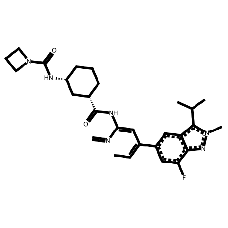 C=N/C(=C\C(=C/C)c1cc(F)c2nn(C)c(C(C)C)c2c1)NC(=O)[C@H]1CCC[C@@H](NC(=O)N2CCC2)C1